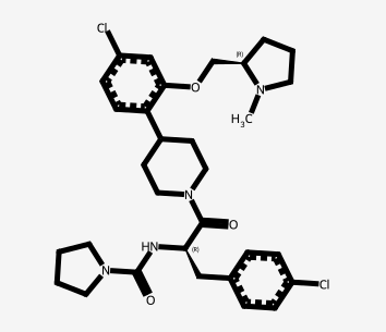 CN1CCC[C@@H]1COc1cc(Cl)ccc1C1CCN(C(=O)[C@@H](Cc2ccc(Cl)cc2)NC(=O)N2CCCC2)CC1